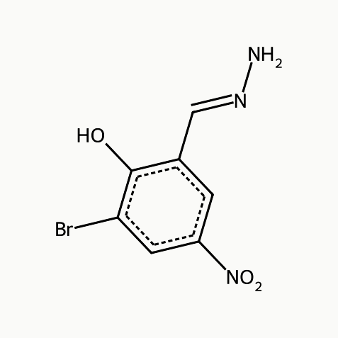 NN=Cc1cc([N+](=O)[O-])cc(Br)c1O